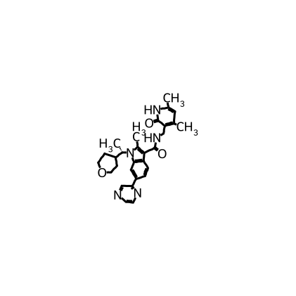 Cc1cc(C)c(CNC(=O)c2c(C)n([C@@H](C)C3CCOCC3)c3cc(-c4cnccn4)ccc23)c(=O)[nH]1